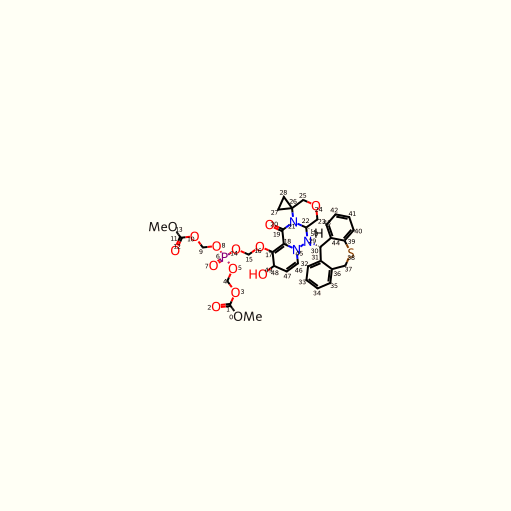 COC(=O)OCOP(=O)(OCOC(=O)OC)OCOC1=C2C(=O)N3[C@@H](COCC34CC4)N([C@H]3c4ccccc4CSc4ccccc43)N2C=CC1O